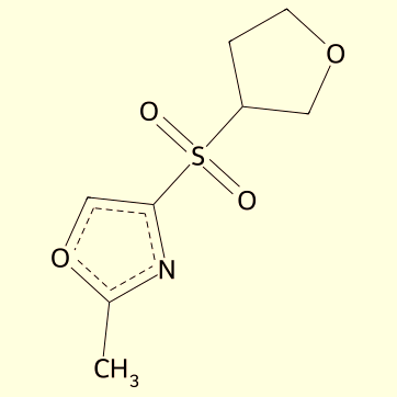 Cc1nc(S(=O)(=O)C2CCOC2)co1